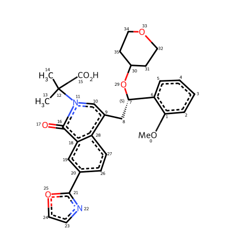 COc1ccccc1[C@H](Cc1cn(C(C)(C)C(=O)O)c(=O)c2cc(-c3ncco3)ccc12)OC1CCOCC1